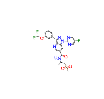 CC(CS(C)(=O)=O)NC(=O)c1cnc2c(-c3cccc(OC(F)F)c3)nn(-c3ncc(F)cn3)c2c1